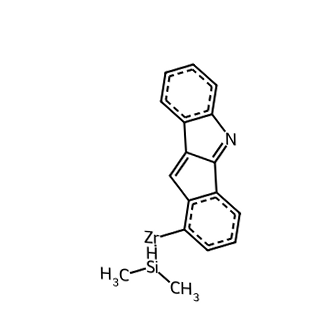 C[SiH](C)[Zr][c]1cccc2c1C=C1C2=Nc2ccccc21